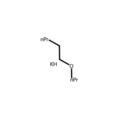 CCCCCOCCC.[KH]